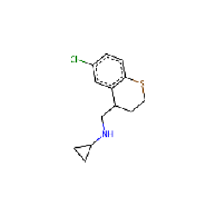 Clc1ccc2c(c1)C(CNC1CC1)CCS2